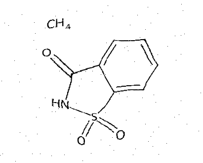 C.O=C1NS(=O)(=O)c2ccccc21